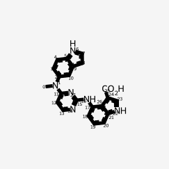 CN(c1ccc2[nH]ccc2c1)c1ccnc(Nc2cccc3[nH]cc(C(=O)O)c23)n1